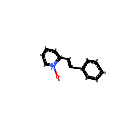 [O-][n+]1ccccc1C=Cc1ccccc1